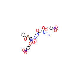 NC(CCC(=O)N1CCN(C(=O)[C@@H]2C[C@H](SC(=O)c3ccccc3)CN2C(=O)OCc2ccc([N+](=O)[O-])cc2)CC1)C(=O)OCc1ccc([N+](=O)[O-])cc1